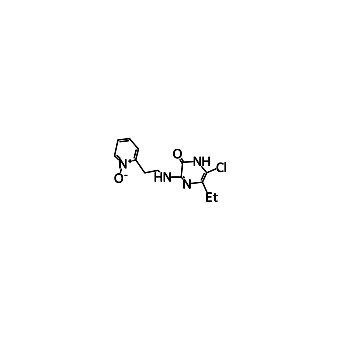 CCc1nc(NCCc2cccc[n+]2[O-])c(=O)[nH]c1Cl